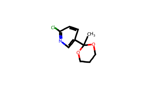 CC1(c2ccc(Cl)nc2)OCCCO1